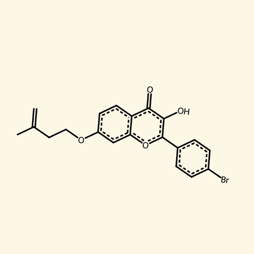 C=C(C)CCOc1ccc2c(=O)c(O)c(-c3ccc(Br)cc3)oc2c1